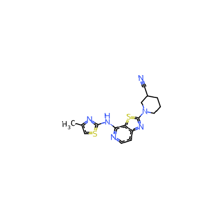 Cc1csc(Nc2nccc3nc(N4CCCC(C#N)C4)sc23)n1